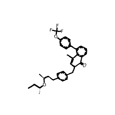 CC[C@@H](C)O[C@@H](C)CCc1ccc(CC2C=C(C)c3c(cccc3-c3ccc(OC(F)(F)F)cc3)C2=O)cc1